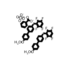 COc1ccc(-c2ccc([I+]c3c(F)c(F)cc(F)c3F)cc2)cc1.COc1ccc(-c2ccc([I+]c3c(F)c(F)cc(F)c3F)cc2)cc1.O=C([O-])c1ccccc1.[O-][Cl+3]([O-])([O-])[O-]